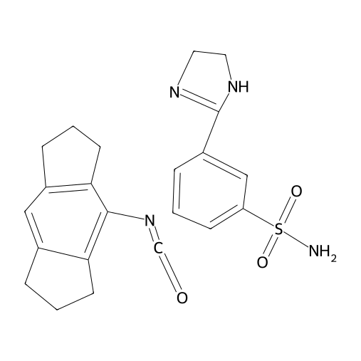 NS(=O)(=O)c1cccc(C2=NCCN2)c1.O=C=Nc1c2c(cc3c1CCC3)CCC2